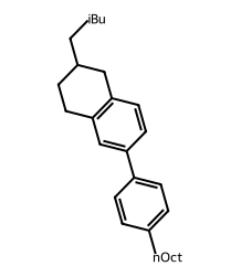 CCCCCCCCc1ccc(-c2ccc3c(c2)CCC(CC(C)CC)C3)cc1